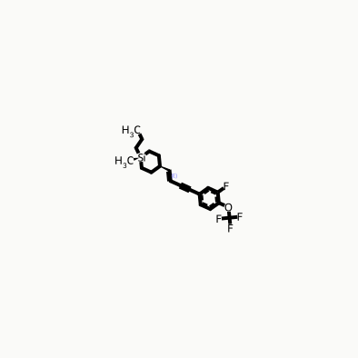 CCC[Si@]1(C)CC[C@@H](/C=C/C#Cc2ccc(OC(F)(F)F)c(F)c2)CC1